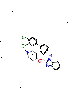 CN1CCC(OC(c2cccc(-c3ccc(Cl)c(Cl)c3)c2)c2nc3ccccc3[nH]2)CC1